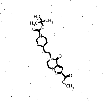 COC(=O)c1cc2n(n1)CCN(CCC1CCN(C(=O)OC(C)(C)C)CC1)C2=O